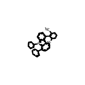 N#Cc1cccc(C#N)c1-c1cccc2c1c1cccc(-c3ccccc3)c1n2-c1ccccc1